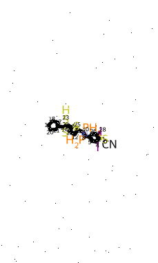 N#CSc1c(I)cc(/C(P)=C(\P)c2cc3sc(C4=CCCCC4)c(S)c3s2)cc1I